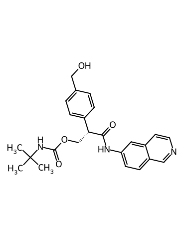 CC(C)(C)NC(=O)OC[C@@H](C(=O)Nc1ccc2cnccc2c1)c1ccc(CO)cc1